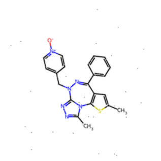 Cc1cc2c(s1)-n1c(C)nnc1N(Cc1cc[n+]([O-])cc1)N=C2c1ccccc1